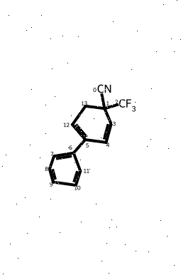 N#CC1(C(F)(F)F)C=CC(c2ccccc2)=CC1